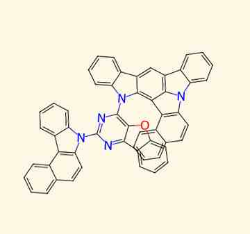 c1ccc2c(c1)ccc1c2c2ccccc2n1-c1nc(-n2c3ccccc3c3cc4c5ccccc5n5c6ccc7ccccc7c6c(c32)c45)c2oc3ccccc3c2n1